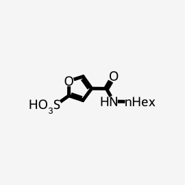 CCCCCCNC(=O)c1coc(S(=O)(=O)O)c1